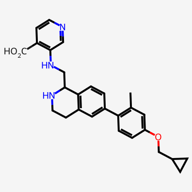 Cc1cc(OCC2CC2)ccc1-c1ccc2c(c1)CCNC2CNc1cnccc1C(=O)O